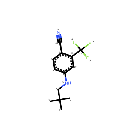 CC(C)(C)CNc1ccc(C#N)c(C(F)(F)F)c1